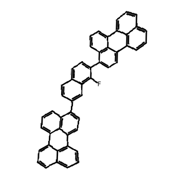 Fc1c(-c2ccc3c4cccc5cccc(c6cccc2c63)c54)ccc2ccc(-c3ccc4c5cccc6cccc(c7cccc3c74)c65)cc12